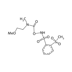 COCCN(C)C(=O)ONS(=O)(=O)c1ccccc1S(C)(=O)=O